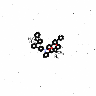 CC1(C)c2ccccc2-c2ccc(-c3ccccc3N(c3ccc(-c4ccc(-c5ccccc5)cc4)cc3)c3ccc(-c4ccccc4-c4cccc5c4C(C)(C)c4ccccc4-5)cc3)cc21